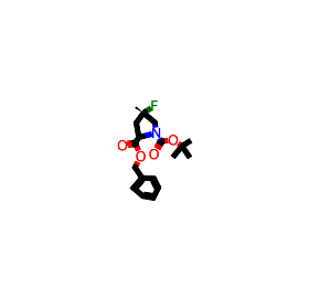 CC(C)(C)OC(=O)N1C[C@](C)(F)CC1C(=O)OCc1ccccc1